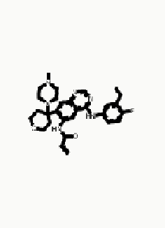 C=CC(=O)Nc1cc2c(Nc3ccc(F)c(CI)c3)ncnc2cc1C1(N2CCN(C)CC2)CCOCC1